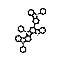 c1ccc(-n2c3ccccc3c3cc(-c4cc5c(c6ccc7c(c8ccccc8n7-c7ccccc7)c6n5-c5ccccc5)c5oc6ccccc6c45)ccc32)cc1